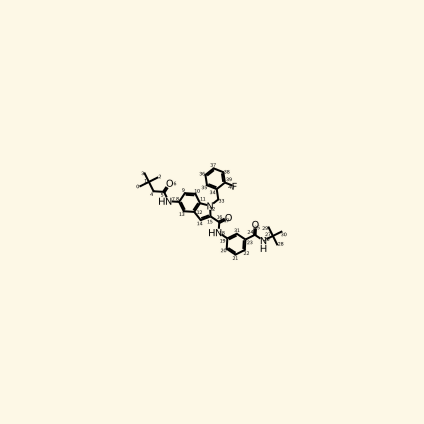 CC(C)(C)CC(=O)Nc1ccc2c(c1)cc(C(=O)Nc1cccc(C(=O)NC(C)(C)C)c1)n2Cc1ccccc1F